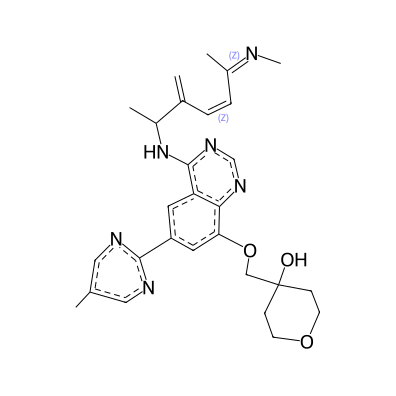 C=C(/C=C\C(C)=N/C)C(C)Nc1ncnc2c(OCC3(O)CCOCC3)cc(-c3ncc(C)cn3)cc12